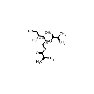 C=C(C)C(=O)OC[C@H](OC(=O)C(=C)C)[C@@H](O)[C@H](O)CO